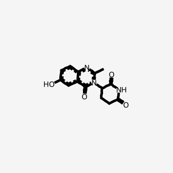 Cc1nc2ccc(O)cc2c(=O)n1C1CCC(=O)NC1=O